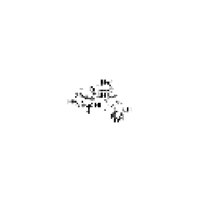 Cc1nonc1N1CCN(c2ccncc2NC(=O)C2C(N)NN3CC(F)CNC23)CC1